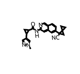 Cn1cc(C2CC2C(=O)Nc2cc3cc(C4(C#N)CC45CC5)ccc3cn2)cn1